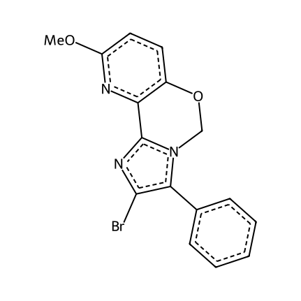 COc1ccc2c(n1)-c1nc(Br)c(-c3ccccc3)n1CO2